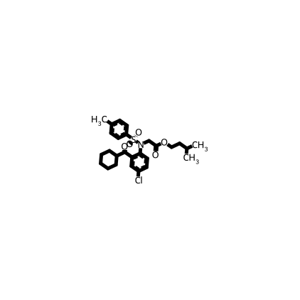 Cc1ccc(S(=O)(=O)N(CC(=O)OCCC(C)C)c2ccc(Cl)cc2C(=O)C2CCCCC2)cc1